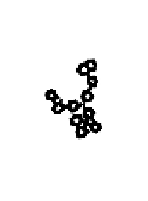 c1ccc(C2(c3ccccc3)c3ccccc3-c3ccc(N(c4ccc(-c5cccc(-c6cccc7ccccc67)c5)cc4)c4ccc(-c5cccc6c5sc5ccccc56)cc4)cc32)cc1